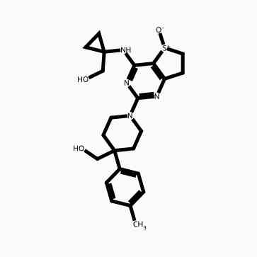 Cc1ccc(C2(CO)CCN(c3nc4c(c(NC5(CO)CC5)n3)[S+]([O-])CC4)CC2)cc1